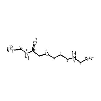 CC(C)CNCCCOCC(=O)NCC(C)C